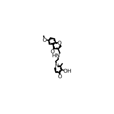 COc1ccc2occ(CNCCn3ccc(=O)c(O)c3C)c(=O)c2c1